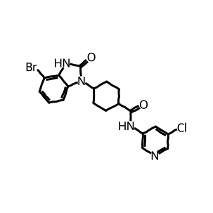 O=C(Nc1cncc(Cl)c1)C1CCC(n2c(=O)[nH]c3c(Br)cccc32)CC1